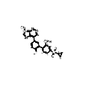 CCn1cnc2c(-c3ccc(F)c(-c4ccc(S(=O)(=O)C5CC5)cc4OC)c3)cnnc21